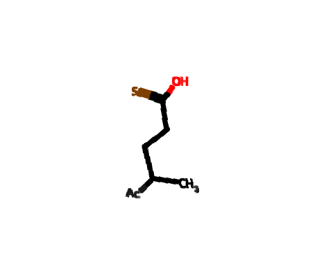 CC(=O)C(C)CCC(O)=S